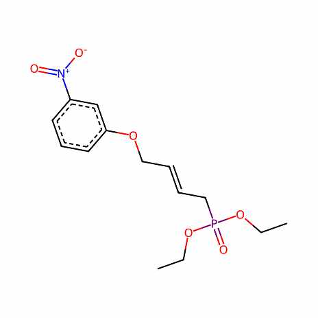 CCOP(=O)(C/C=C/COc1cccc([N+](=O)[O-])c1)OCC